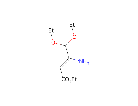 CCOC(=O)C=C(N)C(OCC)OCC